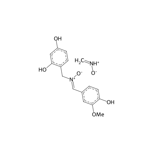 C=[NH+][O-].COc1cc(C=[N+]([O-])Cc2ccc(O)cc2O)ccc1O